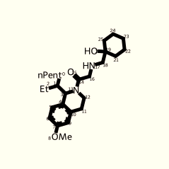 CCCCCC(CC)C1c2ccc(OC)cc2CCN1C(=O)CNCC1(O)CCCCC1